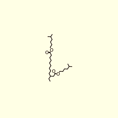 CCC(CCCCCCCCC(=O)OCCCCC(C)C)CC(=O)OCCCCC(C)C